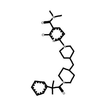 CN(C)C(=O)c1ccc(N2CCC(CC3CCN(C(=O)C(C)(C)c4ccccc4)CC3)CC2)nc1Cl